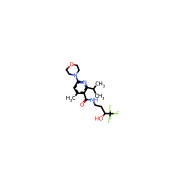 Cc1cc(N2CCOCC2)nc(C(C)C)c1C(=O)NCCC(O)C(F)(F)F